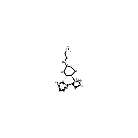 FC(F)(F)CCN[C@H]1CC[C@@H](n2nccc2-n2ccnc2)CC1